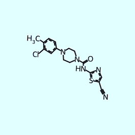 Cc1ccc(N2CCN(C(=O)Nc3ncc(C#N)s3)CC2)cc1Cl